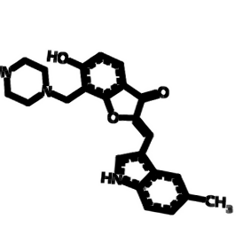 Cc1ccc2[nH]cc(/C=C3\Oc4c(ccc(O)c4CN4CCNCC4)C3=O)c2c1